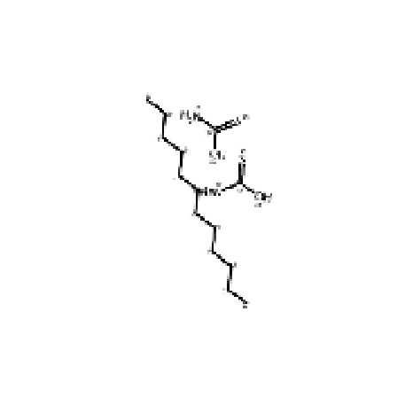 CCCCCCCCCCCC.CNC(O)=S.NC(O)=S